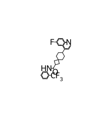 O=C(Nc1ccccc1C(F)(F)F)C1CC2(CCC(c3ccnc4ccc(F)cc34)CC2)C1